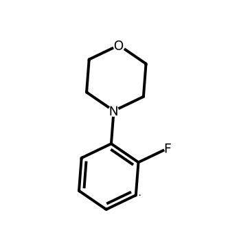 Fc1[c]cccc1N1CCOCC1